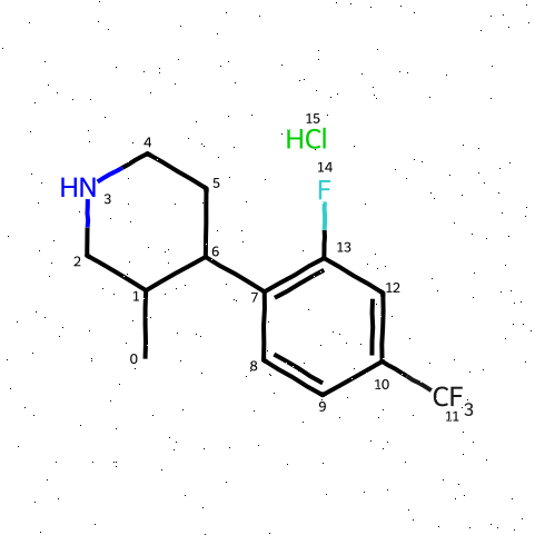 CC1CNCCC1c1ccc(C(F)(F)F)cc1F.Cl